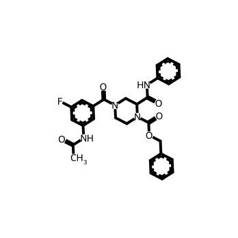 CC(=O)Nc1cc(F)cc(C(=O)N2CCN(C(=O)OCc3ccccc3)C(C(=O)Nc3ccccc3)C2)c1